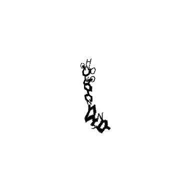 Cc1ccc2sc(-c3ccc(CN4CCC(c5ccc6c(c5)CN(C5CCC(=O)NC7OC75)C6=O)CC4)cc3)nc2c1